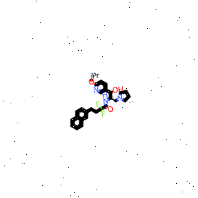 CC(C)Oc1ccc([C@@H](O)[C@@H](CN2CCCC2)NC(=O)C(F)(F)CCc2ccc3ccccc3c2)cn1